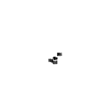 [Cd].[Hg].[Pb].[Te]